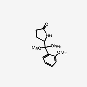 COc1ccccc1C(OC)(OC)C1CCC(=O)N1